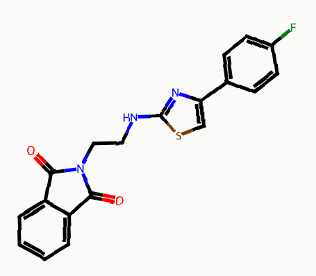 O=C1c2ccccc2C(=O)N1CCNc1nc(-c2ccc(F)cc2)cs1